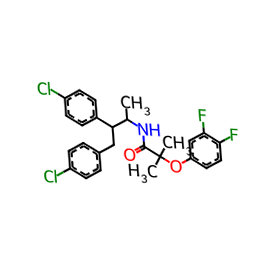 CC(NC(=O)C(C)(C)Oc1ccc(F)c(F)c1)C(Cc1ccc(Cl)cc1)c1ccc(Cl)cc1